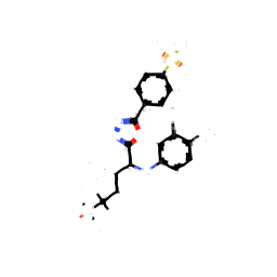 C[C@@H](CC(C)(C)[Si](C)(C)O)C(Nc1ccc(C#N)c(C(F)(F)F)c1)c1nnc(-c2ccc(S(C)(=O)=O)cc2)o1